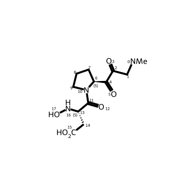 CNCC(=O)C(=O)[C@@H]1CCCN1C(=O)[C@H](CC(=O)O)NO